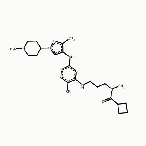 Cc1nn(C2CCN(C)CC2)cc1Nc1ncc(C(F)(F)F)c(NCCCN(C)C(=O)C2CCC2)n1